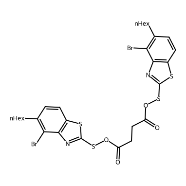 CCCCCCc1ccc2sc(SOC(=O)CCC(=O)OSc3nc4c(Br)c(CCCCCC)ccc4s3)nc2c1Br